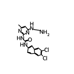 Cc1cc(NCCN)nc(NC(=O)Nc2ccc3cc(Cl)c(Cl)cc3c2)n1